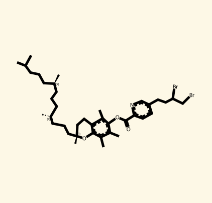 Cc1c(C)c2c(c(C)c1OC(=O)c1ccc(CCC(Br)CBr)cn1)CC[C@@](C)(CCC[C@H](C)CCC[C@H](C)CCCC(C)C)O2